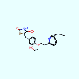 CCO.CCc1ccc(CCOc2ccc(CC3SC(=O)NC3=O)cc2)nc1